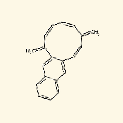 C=c1ccccc(=C)c2cc3ccccc3cc2cc1